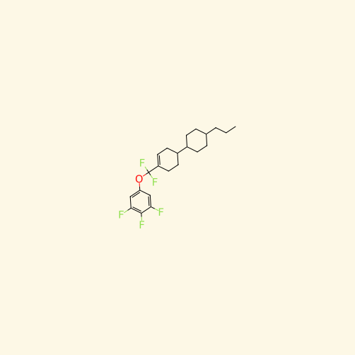 CCCC1CCC(C2CC=C(C(F)(F)Oc3cc(F)c(F)c(F)c3)CC2)CC1